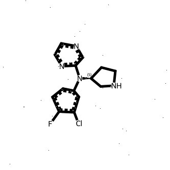 Fc1ccc(N(c2cnccn2)[C@H]2CCNC2)cc1Cl